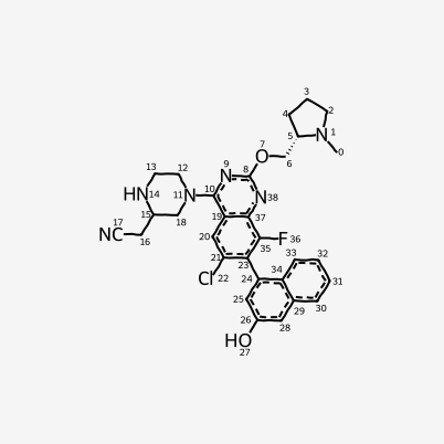 CN1CCC[C@H]1COc1nc(N2CCNC(CC#N)C2)c2cc(Cl)c(-c3cc(O)cc4ccccc34)c(F)c2n1